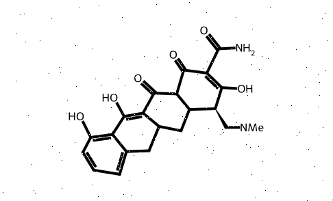 CNC[C@@H]1C(O)=C(C(N)=O)C(=O)C2C(=O)C3=C(O)c4c(O)cccc4CC3CC21